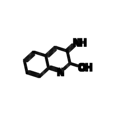 N=C1C=c2ccccc2=NC1O